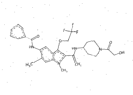 C=C(NC1CCN(C(=O)CO)CC1)c1c(OCC(F)(F)F)c2cc(NC(=O)c3ccccc3)c(C)cc2n1C